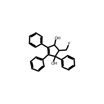 OC1C(c2ccccc2)=C(c2ccccc2)C(O)(c2ccccc2)C1CF